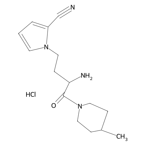 CC1CCN(C(=O)C(N)CCn2cccc2C#N)CC1.Cl